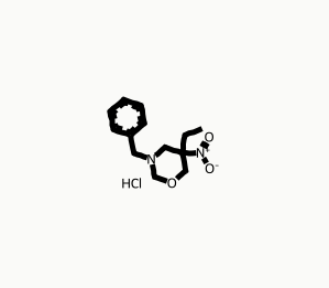 CCC1([N+](=O)[O-])COCN(Cc2ccccc2)C1.Cl